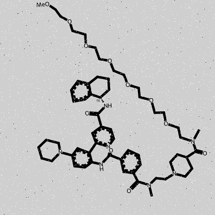 COCCOCCOCCOCCOCCOCCOCCN(C)C(=O)C1CCN(CCN(C)C(=O)c2cccc(C(=O)Nc3ccc(N4CCCCC4)cc3-c3cc(C(=O)N[C@H]4CCCc5ccccc54)ccn3)c2)CC1